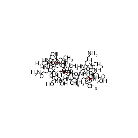 CSCC[C@H](NC(=O)[C@@H](N)CO)C(=O)N[C@@H](CCC(N)=O)C(=O)N[C@@H](C)C(=O)N[C@@H](CO)C(=O)N[C@@H](CC(C)C)C(=O)N[C@@H](CCC(=O)O)C(=O)N[C@@H](C)C(=O)N[C@@H](CCC(=O)O)C(=O)N[C@@H](C)C(=O)N[C@@H](CCCCN)C(=O)NCC(=O)N[C@@H](CCCCN)C(=O)N[C@@H](C)C(=O)N[C@@H](CCC(=O)O)C(=O)N[C@@H](CC(C)C)C(=O)O